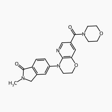 CN1Cc2cc(N3CCOc4cc(C(=O)N5CCOCC5)cnc43)ccc2C1=O